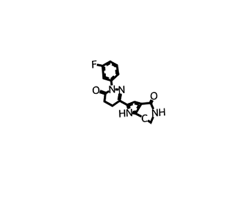 O=C1NCCc2[nH]c(C3=NN(c4cccc(F)c4)C(=O)CC3)cc21